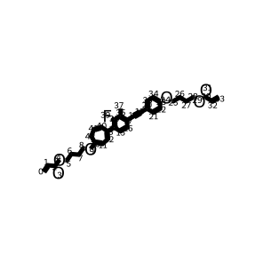 C=CC(=O)OCCCCOC1=CC=C(c2ccc(C#Cc3ccc(OCCCCOC(=O)C=C)cc3)c(C)c2F)C=CC1